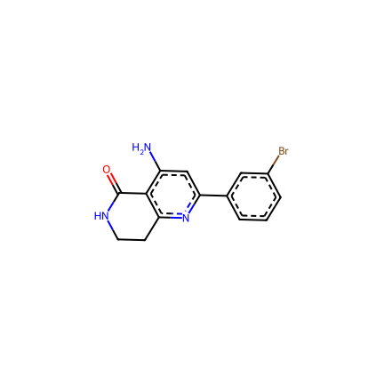 Nc1cc(-c2cccc(Br)c2)nc2c1C(=O)NCC2